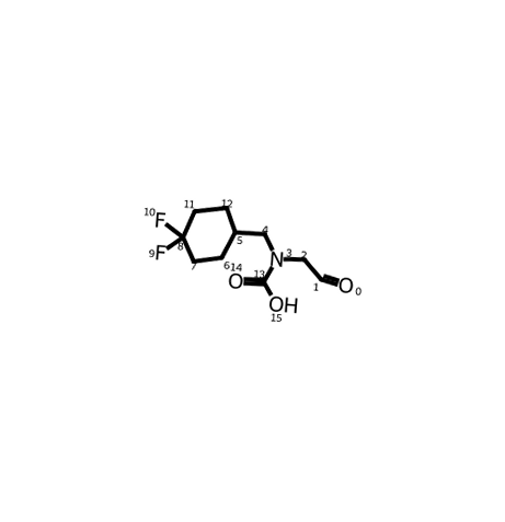 O=CCN(CC1CCC(F)(F)CC1)C(=O)O